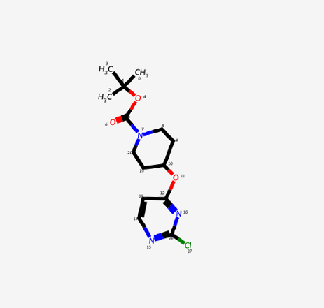 CC(C)(C)OC(=O)N1CCC(Oc2ccnc(Cl)n2)CC1